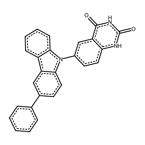 O=c1[nH]c(=O)c2cc(-n3c4ccccc4c4cc(-c5ccccc5)ccc43)ccc2[nH]1